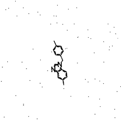 Cc1ccc(Cn2cnc3cc(C)ccc32)cc1